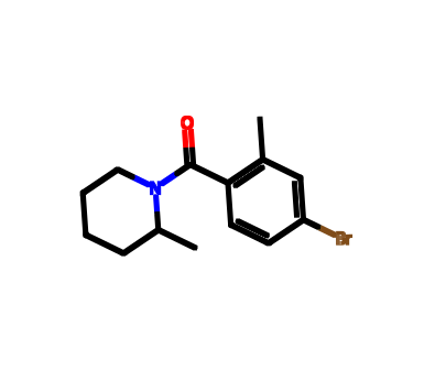 Cc1cc(Br)ccc1C(=O)N1CCCCC1C